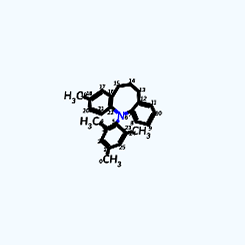 Cc1cc(C)c(N2c3ccccc3CCCc3cc(C)ccc32)c(C)c1